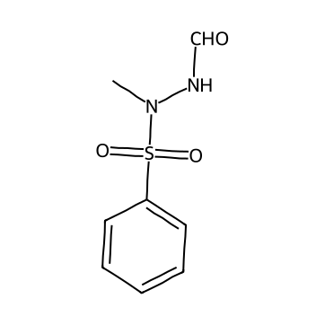 CN(NC=O)S(=O)(=O)c1ccccc1